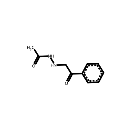 CC(=O)NNCC(=O)c1ccccc1